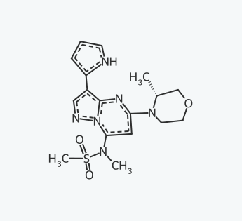 C[C@@H]1COCCN1c1cc(N(C)S(C)(=O)=O)n2ncc(-c3ccc[nH]3)c2n1